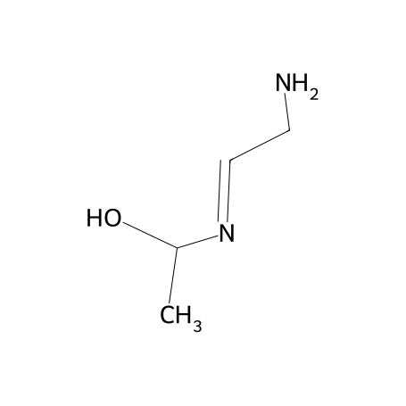 CC(O)N=CCN